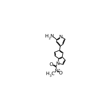 C[N+](=O)C(=O)n1ccc2cc(-c3ccnc(N)c3)ccc21